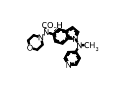 CN(c1ccncc1)n1ccc2cc(N(C(=O)O)N3CCOCC3)ccc21